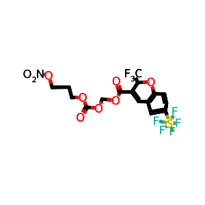 O=C(OCCCO[N+](=O)[O-])OCOC(=O)C1=Cc2cc(S(F)(F)(F)(F)F)ccc2OC1C(F)(F)F